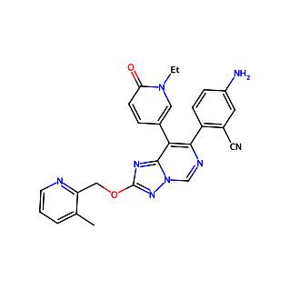 CCn1cc(-c2c(-c3ccc(N)cc3C#N)ncn3nc(OCc4ncccc4C)nc23)ccc1=O